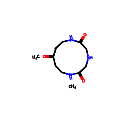 C.C.O=C1[CH]CNC(=O)CNCC(=O)NCC1